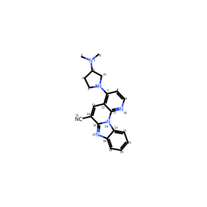 CN(C)C1CCN(c2ccnc3c2cc(C#N)c2nc4ccccc4n23)C1